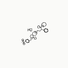 CS(=O)(=O)c1ccc(CN2CCC3(CCN(CCC(C(=O)N4CCCCC4)c4ccccc4)CC3)C2=O)cc1.Cl